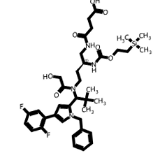 CC(C)(C)C(c1cc(-c2cc(F)ccc2F)cn1Cc1ccccc1)N(CC[C@@H](CNC(=O)CCC(=O)O)NC(=O)OCC[Si](C)(C)C)C(=O)CO